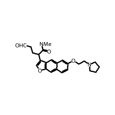 CNC(=O)C(CCC=O)c1coc2cc3ccc(OCCN4CCCC4)cc3cc12